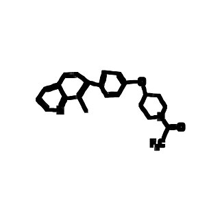 Cc1c(-c2ccc(OC3CCN(C(=O)C(F)(F)F)CC3)cc2)ccc2cccnc12